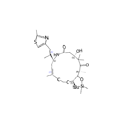 C/C1=C/C[C@@H](/C(C)=C/c2csc(C)n2)NC(=O)C[C@H](O)C(C)(C)C(=O)[C@H](C)C(O[Si](C)(C)C(C)(C)C)[C@@H](C)CCC1